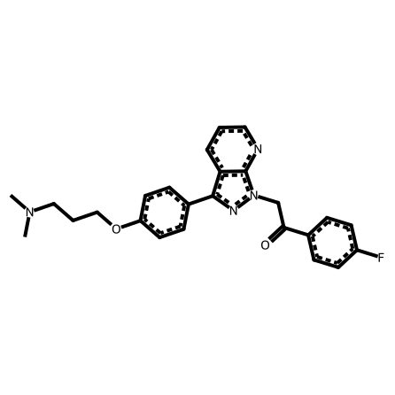 CN(C)CCCOc1ccc(-c2nn(CC(=O)c3ccc(F)cc3)c3ncccc23)cc1